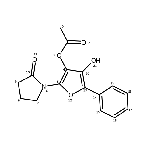 CC(=O)Oc1c(N2CCCC2=O)oc(-c2ccccc2)c1O